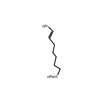 [CH]CCC=CCCCCCCCCCC